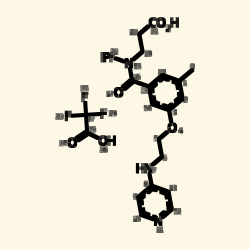 Cc1cc(OCCNc2ccncc2)cc(C(=O)N(CCC(=O)O)C(C)C)c1.O=C(O)C(F)(F)F